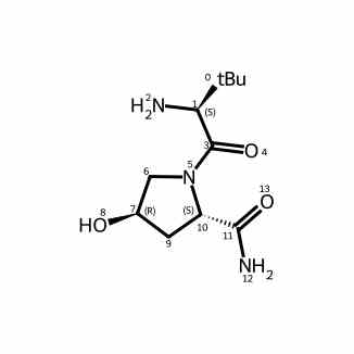 CC(C)(C)[C@H](N)C(=O)N1C[C@H](O)C[C@H]1C(N)=O